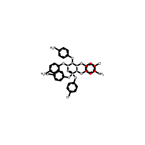 Nc1ccc(ON2P(Oc3ccc(N)cc3)N=P(Oc3ccc(Cl)cc3)(Oc3ccc(Cl)cc3)N(Oc3ccc(Cl)cc3)P2Oc2ccc(N)cc2)cc1